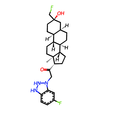 C[C@]12CC[C@H]3[C@@H](CC[C@@H]4C[C@@](O)(CF)CC[C@@H]43)[C@@H]1CC[C@@H]2C(=O)CN1NNc2ccc(F)cc21